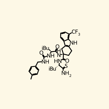 CCC(C)[C@H](NC(=O)NCc1ccc(C)cc1)C(=O)N[C@]1(C(=O)N[C@H](C(N)=S)C(C)CC)CCc2[nH]c3c(C(F)(F)F)cccc3c2C1